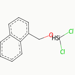 Cl[SiH](Cl)OCc1cccc2ccccc12